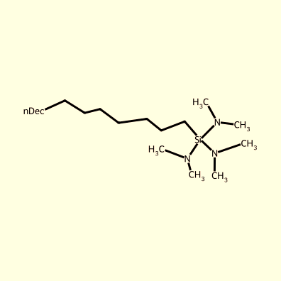 CCCCCCCCCCCCCCCCC[Si](N(C)C)(N(C)C)N(C)C